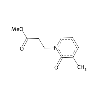 COC(=O)CCn1cccc(C)c1=O